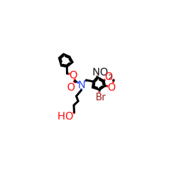 O=C(OCc1ccccc1)N(CCCCCO)Cc1cc(Br)c2c(c1[N+](=O)[O-])OCO2